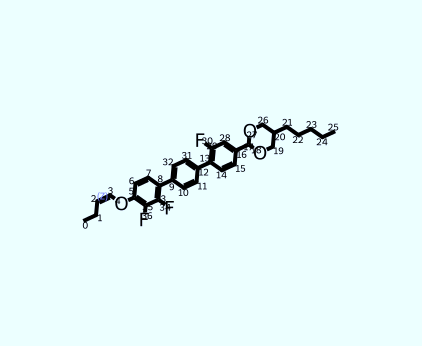 CC/C=C\Oc1ccc(-c2ccc(-c3ccc(C4OCC(CCCCC)CO4)cc3F)cc2)c(F)c1F